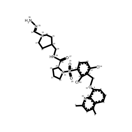 Cc1cc(C)c2cccc(OCc3c(Cl)ccc(S(=O)(=O)N4CCC[C@H]4C(=O)NCC4CCN(C=NN)CC4)c3Cl)c2n1